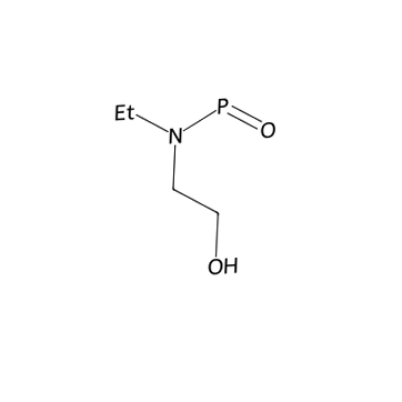 CCN(CCO)P=O